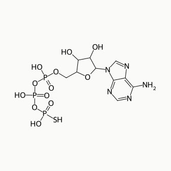 Nc1ncnc2c1ncn2C1OC(COP(=O)(O)OP(=O)(O)OP(=O)(O)S)C(O)C1O